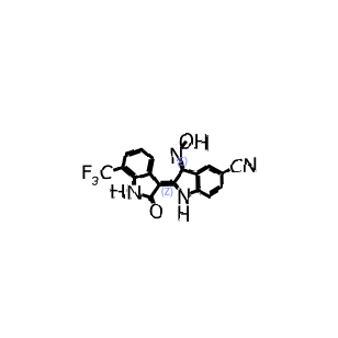 N#Cc1ccc2c(c1)C(=N\O)/C(=C1/C(=O)Nc3c1cccc3C(F)(F)F)N2